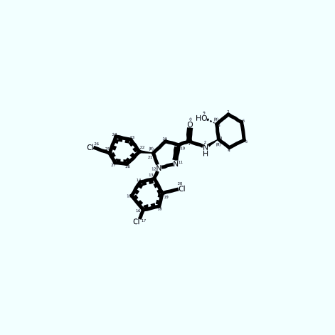 O=C(N[C@@H]1CCCC[C@H]1O)C1=NN(c2ccc(Cl)cc2Cl)[C@@H](c2ccc(Cl)cc2)C1